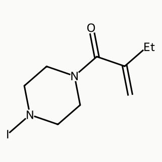 C=C(CC)C(=O)N1CCN(I)CC1